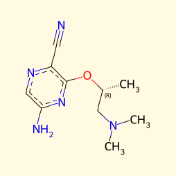 C[C@H](CN(C)C)Oc1nc(N)cnc1C#N